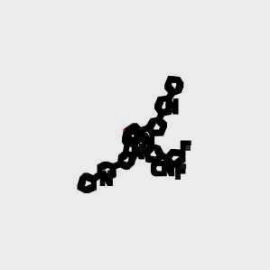 N#Cc1cc(-n2c3ccccc3c3cc(-c4ccc(-c5ccccc5)nc4)ccc32)c(-n2c3ccccc3c3cc(-c4ccc(-c5ccccc5)nc4)ccc32)cc1-c1cc(F)cc(F)c1